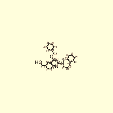 OCc1ccc2nc(N3CCSc4ccccc4C3)nc(OCc3ccccc3)c2c1